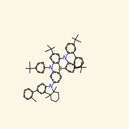 Cc1ccccc1-c1ccc2c(c1)C1(C)CCCCC1(C)N2c1ccc2c(c1)N(c1ccc(C(C)(C)C)cc1)c1cc(C(C)(C)C)cc3c1B2c1ccc(C(C)(C)C)cc1N3c1ccc(C(C)(C)C)cc1-c1ccccc1